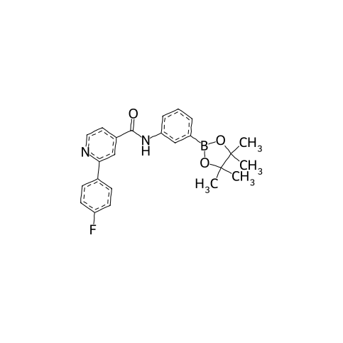 CC1(C)OB(c2cccc(NC(=O)c3ccnc(-c4ccc(F)cc4)c3)c2)OC1(C)C